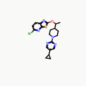 CC(Oc1nc2ccc(Br)nc2s1)C1CCN(c2ncc(C3CC3)cn2)CC1